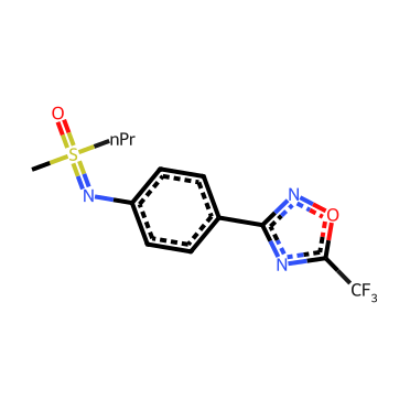 CCCS(C)(=O)=Nc1ccc(-c2noc(C(F)(F)F)n2)cc1